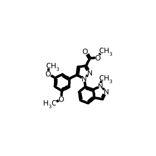 COC(=O)c1cc(-c2cc(OC)cc(OC)c2)n(-c2cccc3cnn(C)c23)n1